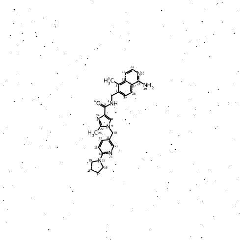 Cc1c(CNC(=O)c2cn(Cc3ccc(N4CCCC4)nc3)c(C)n2)ccc2c(N)nccc12